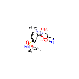 CN1c2ccc(S(=O)(=O)NC3(C)CC3)cc2C(=O)N(Cc2cnco2)C1O